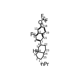 CCC[C@@H]1CC[C@@H]2CC(c3cc(F)c4cc(OC(F)F)ccc4c3)CCC2C1